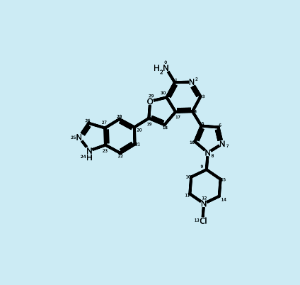 Nc1ncc(-c2cnn(C3CCN(Cl)CC3)c2)c2cc(-c3ccc4[nH]ncc4c3)oc12